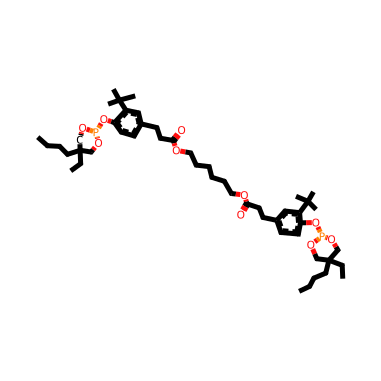 CCCCC1(CC)COP(Oc2ccc(CCC(=O)OCCCCCCOC(=O)CCc3ccc(OP4OCC(CC)(CCCC)CO4)c(C(C)(C)C)c3)cc2C(C)(C)C)OC1